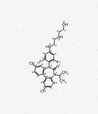 CC(C)N1C(=O)N(c2c(F)cc(NCCNCCO)cc2F)c2cc(Cl)ccc2-c2cc(Cl)cnc21